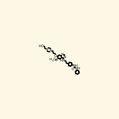 COc1cc2c(NCCc3ccc(NC(=O)Nc4ccccc4)cc3)ncnc2cc1OCCCN1CCN(CCO)CC1